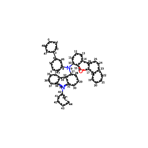 c1ccc(-c2cccc(N(c3cccc4c3oc3c5ccccc5ccc43)c3cccc4c3c3ccccc3n4-c3ccccc3)c2)cc1